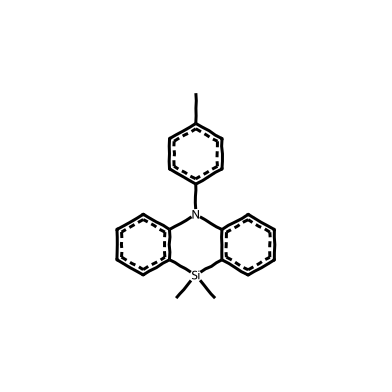 Cc1ccc(N2c3ccccc3[Si](C)(C)c3ccccc32)cc1